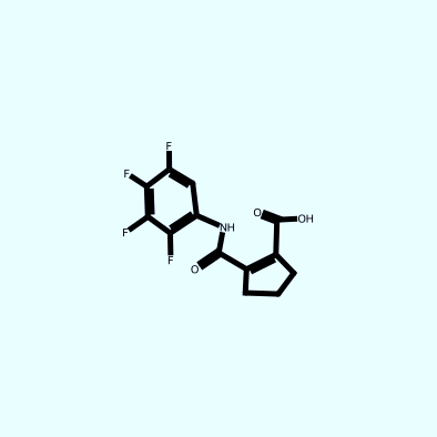 O=C(O)C1=C(C(=O)Nc2cc(F)c(F)c(F)c2F)CCC1